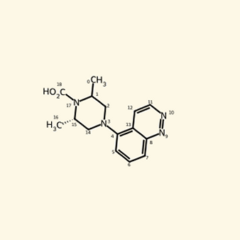 CC1CN(c2cccc3nnccc23)C[C@H](C)N1C(=O)O